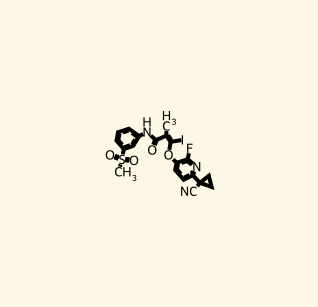 C/C(C(=O)Nc1cccc(S(C)(=O)=O)c1)=C(\I)Oc1ccc(C2(C#N)CC2)nc1F